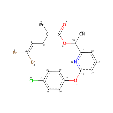 CC(C)C(CC=C(Br)Br)C(=O)OC(C#N)c1cccc(Oc2ccc(Cl)cc2)n1